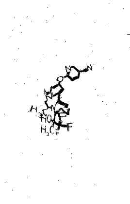 C[C@H]1Cn2nc(Oc3ccc(C#N)cn3)cc2-c2cnc(C(C)(O)C(F)(F)F)n21